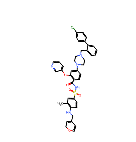 Cc1cc(S(=O)(=O)NC(=O)c2ccc(N3CCN(Cc4ccccc4-c4ccc(Cl)cc4)CC3)cc2Oc2cccnc2)ccc1NCC1=CCOC=C1